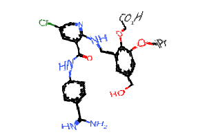 CC(C)Oc1cc(CO)cc(CNc2ncc(Cl)cc2C(=O)Nc2ccc(C(=N)N)cc2)c1OCC(=O)O